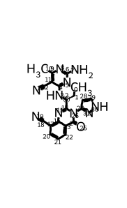 CC[C@H](Nc1nc(N)nc(C)c1C#N)c1nc2c(C#N)cccc2c(=O)n1-c1cc[nH]n1